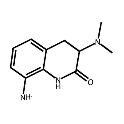 CN(C)C1Cc2cccc([NH])c2NC1=O